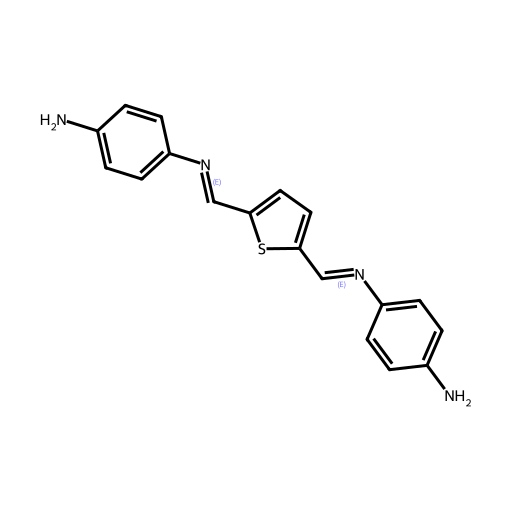 Nc1ccc(/N=C/c2ccc(/C=N/c3ccc(N)cc3)s2)cc1